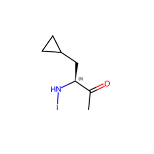 CC(=O)[C@H](CC1CC1)NI